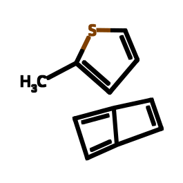 Cc1cccs1.c1cc2ccc1-2